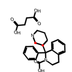 O=C(O)CCC(=O)O.O=C(O)N1CCc2ccccc2C1(c1ccccc1)C1CN2CCC1CC2